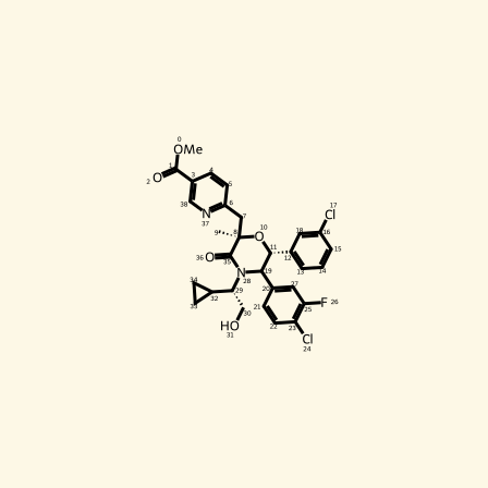 COC(=O)c1ccc(C[C@@]2(C)O[C@H](c3cccc(Cl)c3)C(c3ccc(Cl)c(F)c3)N([C@H](CO)C3CC3)C2=O)nc1